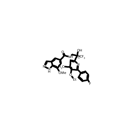 CCOc1c(C)cc([C@@](O)(CNC(=O)c2cc(OC)c3[nH]ncc3c2)C(F)(F)F)nc1-c1ccc(F)cc1